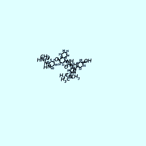 CNC(=O)Nc1cc(Oc2ccc(NC(=O)Nc3cc(C(C)(C)C)nn3-c3ccc(O)cc3)c3ccccc23)ccn1